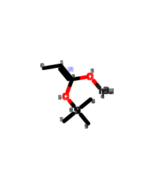 C/C=C(/OCCCC)O[Si](C)(C)C